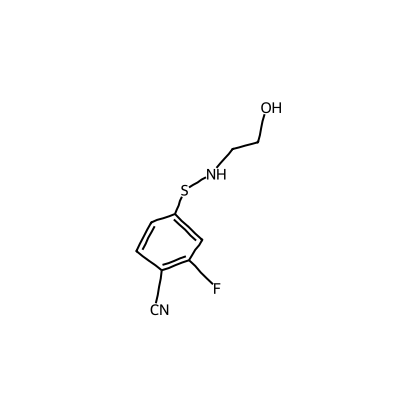 N#Cc1ccc(SNCCO)cc1F